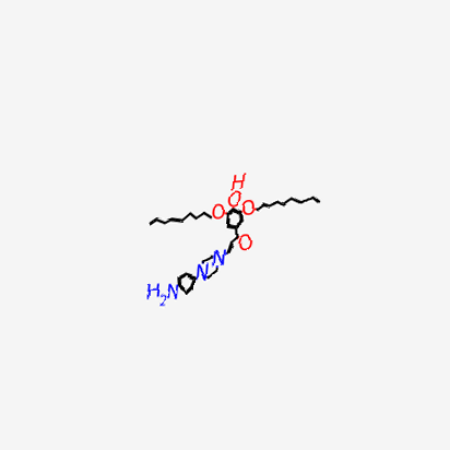 CCCCCCCCCOc1cc(C(=O)C=CN2CCN(c3ccc(N)cc3)CC2)cc(OCCCCCCCCC)c1O